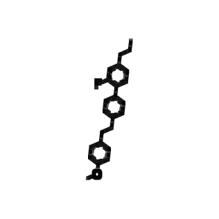 CCCc1ccc(-c2ccc(CCc3ccc(OC)cc3)cc2)c(F)c1